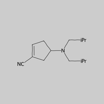 CC(C)CN(CC(C)C)C1CC=C(C#N)C1